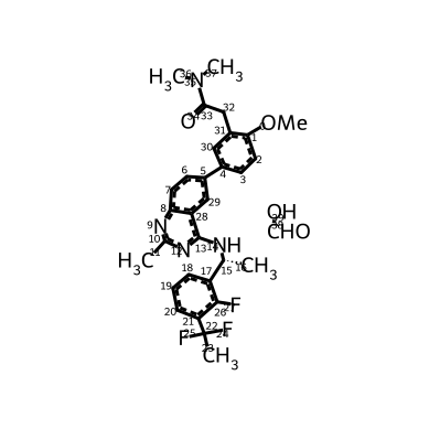 COc1ccc(-c2ccc3nc(C)nc(N[C@H](C)c4cccc(C(C)(F)F)c4F)c3c2)cc1CC(=O)N(C)C.O=CO